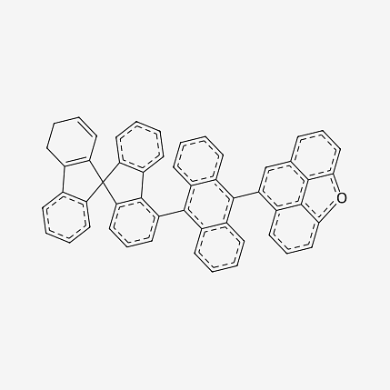 C1=CC2=C(CC1)c1ccccc1C21c2ccccc2-c2c(-c3c4ccccc4c(-c4cc5cccc6oc7cccc4c7c56)c4ccccc34)cccc21